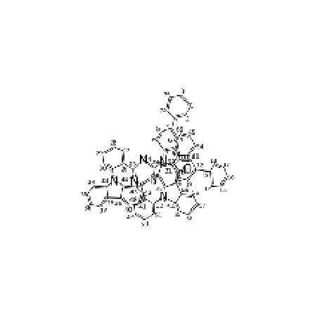 c1ccc(-c2ccc3c(c2)c2cc(-c4ccccc4)ccc2n3-c2nc(-c3ccccc3-n3c4ccccc4c4ccccc43)nc(-c3ccccc3-n3c4ccccc4c4c5oc6ccccc6c5ccc43)n2)cc1